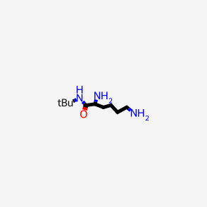 CC(C)(C)NC(=O)C(N)CCCCN